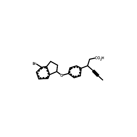 CC#CC(CC(=O)O)c1ccc(OC2CCc3c(Br)cccc32)cc1